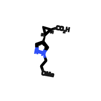 COCCn1cc([C@@H]2C[C@H]2C(=O)O)cn1